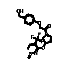 C=N/N=C(OC1CCN(C(=O)COc2ccc(CO)cc2)C1)\C(=C/C)C(F)(F)F